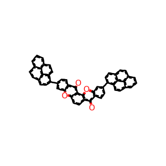 O=c1c2ccc(-c3ccc4ccc5cccc6ccc3c4c56)cc2oc2c1ccc1oc3cc(-c4ccc5ccc6cccc7ccc4c5c67)ccc3c(=O)c12